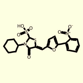 O=C1C(=Cc2ccc(-c3ccccc3[N+](=O)[O-])o2)SC(S(=O)(=O)O)N1C1CCCCC1